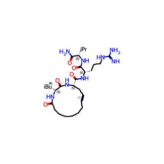 CC[C@@H](C)[C@@H]1NC(=O)CCCCCC/C=C/C[C@@H](C(=O)N[C@@H](CCCNC(=N)N)C(=O)N[C@H](C(N)=O)C(C)C)NC1=O